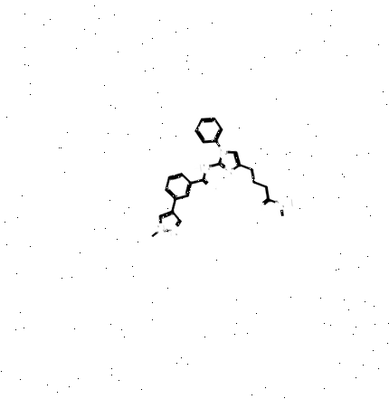 CNC(=O)CCCc1cn(-c2ccccc2)c(NC(=O)c2cccc(-c3cnn(C)c3)c2)n1